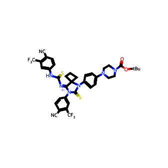 CC(C)(C)OC(=O)N1CCN(c2ccc(N3C(=S)N(c4ccc(C#N)c(C(F)(F)F)c4)/C(=N/C(=S)Nc4ccc(C#N)c(C(F)(F)F)c4)C34CCC4)cc2)CC1